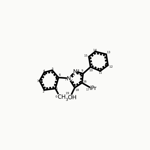 Cc1ccccc1-n1nc(-c2ccccc2)c(C(C)C)c1O